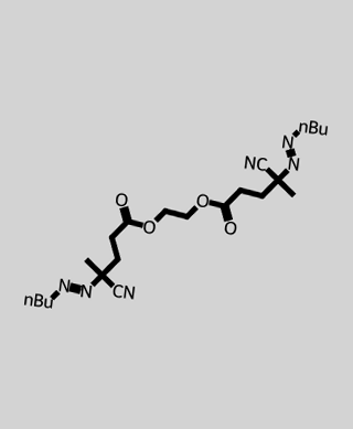 CCCCN=NC(C)(C#N)CCC(=O)OCCOC(=O)CCC(C)(C#N)N=NCCCC